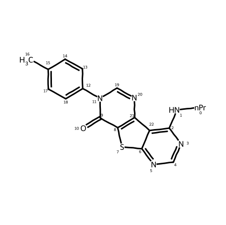 CCCNc1ncnc2sc3c(=O)n(-c4ccc(C)cc4)cnc3c12